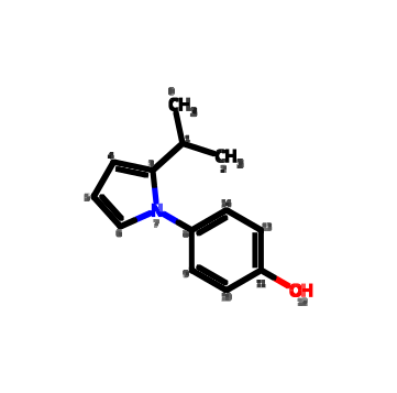 CC(C)c1cccn1-c1ccc(O)cc1